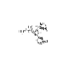 C=C(OCC)c1nc(-c2ccnc(Cl)n2)cn1C[C@H](C)N